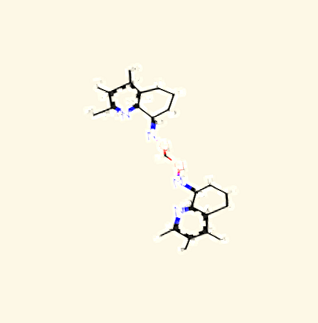 Cc1nc2c(c(C)c1C)CCC/C2=N\OCO/N=C1\CCCc2c1nc(C)c(C)c2C